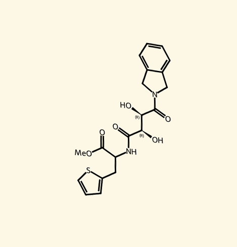 COC(=O)C(Cc1cccs1)NC(=O)[C@H](O)[C@@H](O)C(=O)N1Cc2ccccc2C1